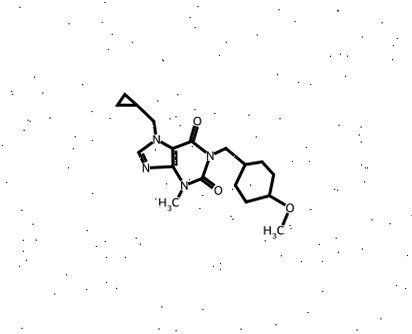 COC1CCC(Cn2c(=O)c3c(ncn3CC3CC3)n(C)c2=O)CC1